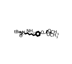 CC1(C)OC[C@@H](COc2ccc(CCCC(N)C=N[S+]([O-])C(C)(C)C)cc2)O1